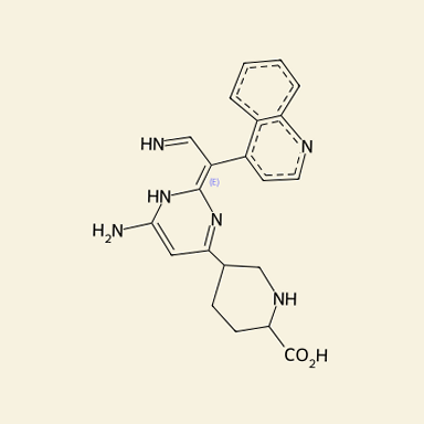 N=C/C(=C1/N=C(C2CCC(C(=O)O)NC2)C=C(N)N1)c1ccnc2ccccc12